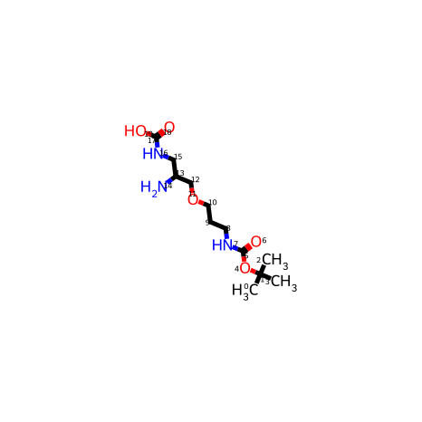 CC(C)(C)OC(=O)NCCCOCC(N)CNC(=O)O